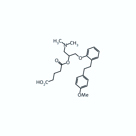 COc1ccc(CCc2ccccc2OCC(CN(C)C)OC(=O)CCCC(=O)O)cc1